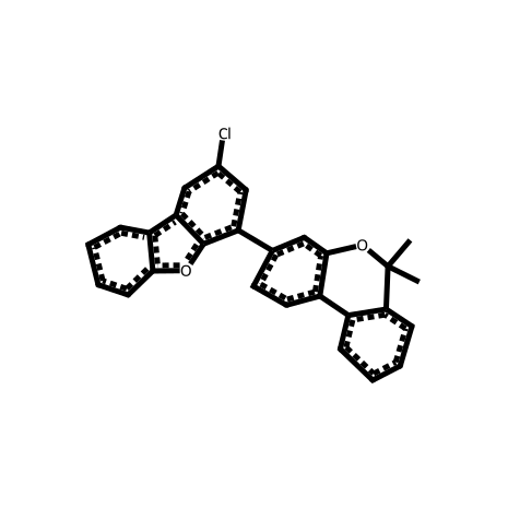 CC1(C)Oc2cc(-c3cc(Cl)cc4c3oc3ccccc34)ccc2-c2ccccc21